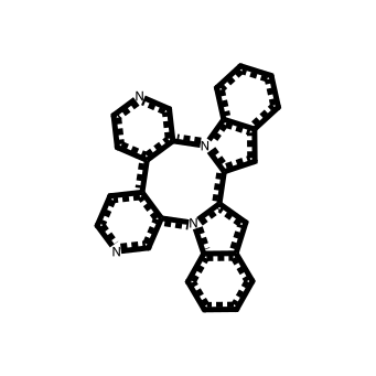 c1ccc2c(c1)cc1c3cc4ccccc4n3c3cnccc3c3ccncc3n21